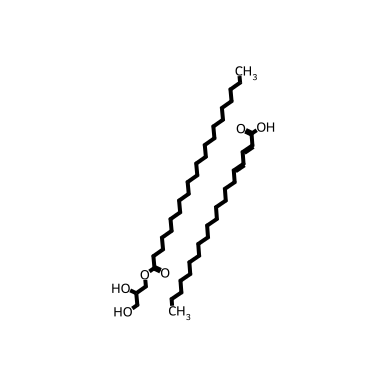 CCCCCCCCCCCCCCCC=CC=CC(=O)O.CCCCCCCCCCCCCCCCCCCCCC(=O)OCC(O)CO